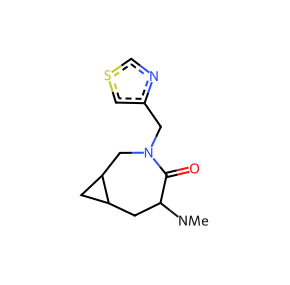 CNC1CC2CC2CN(Cc2cscn2)C1=O